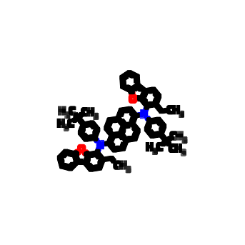 CCc1ccc2c(oc3ccccc32)c1N(c1ccc(C(C)(C)C)cc1)c1ccc2ccc3c(N(c4ccc(C(C)(C)C)cc4)c4c(CC)ccc5c4oc4ccccc45)ccc4ccc1c2c43